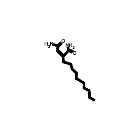 CCCCCCCCCCC(=CC(N)=O)C(N)=O